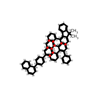 CC1(C)c2ccccc2-c2c(-c3ccccc3N(c3ccc(-c4ccc(-c5cccc6ccccc56)cc4)cc3)c3cccc(-c4ccccc4)c3-c3ccccc3-c3ccccc3)cccc21